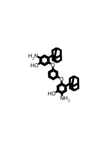 Nc1cc(C23CC4CC(CC(C4)C2)C3)c(Oc2cccc(Oc3cc(O)c(N)cc3C34CC5CC(CC(C5)C3)C4)c2)cc1O